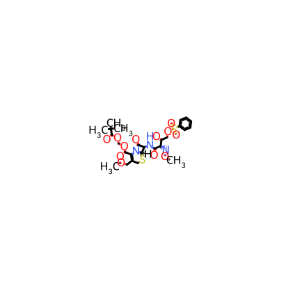 COCC1=C(C(=O)OCOC(=O)C(C)(C)C)N2C(=O)C(NC(=O)/C(=N\OC)C(=O)COS(=O)(=O)c3ccccc3)[C@H]2SC1